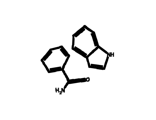 NC(=O)c1ccccc1.c1ccc2[nH]ccc2c1